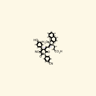 CN1/C(=C\C=C2/C(=O)N(c3ccc(C#N)cc3)C(=O)C(C#N)=C2c2ccc(O)cc2)N(CCC(=O)O)c2ccc3ccccc3c21